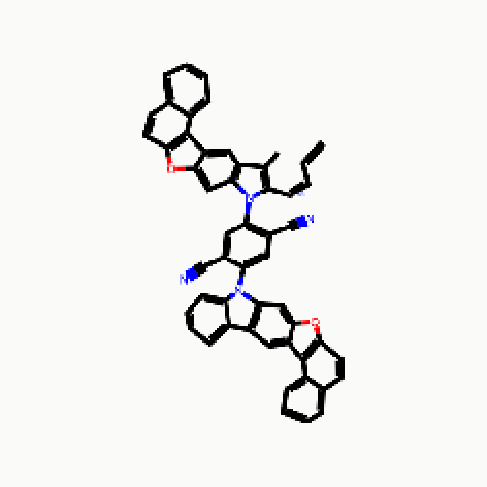 C=C/C=C\c1c(C)c2cc3c(cc2n1-c1cc(C#N)c(-n2c4ccccc4c4cc5c(cc42)oc2ccc4ccccc4c25)cc1C#N)oc1ccc2ccccc2c13